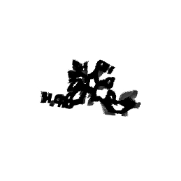 COC(=O)C1(CO)C(CC2=CCC=CO2)C(=O)C(O)N1C(=S)S